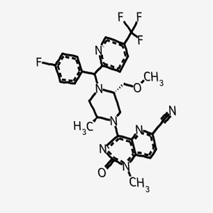 COC[C@@H]1CN(c2nc(=O)n(C)c3ccc(C#N)nc23)[C@@H](C)CN1C(c1ccc(F)cc1)c1ccc(C(F)(F)F)cn1